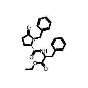 CCOC(=O)[C@H](Cc1ccccc1)NC(=O)[C@@H]1CCC(=O)N1Cc1ccccc1